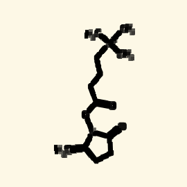 C=C1CCC(=O)N1OC(=O)CCC[N+](C)(C)C